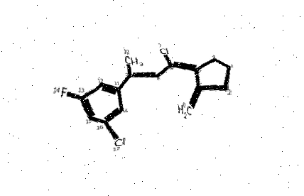 C=C1CCC/C1=C(Cl)/C=C(\C)c1cc(F)cc(Cl)c1